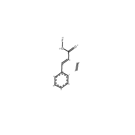 C=C.O=C(C=Cc1ccccc1)OF